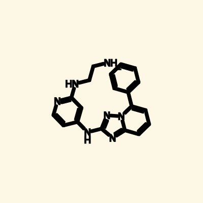 NCCNc1cc(Nc2nc3cccc(-c4ccccc4)n3n2)ccn1